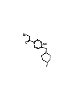 Br.O=C(CBr)c1ccc(CN2CCC(F)CC2)cc1